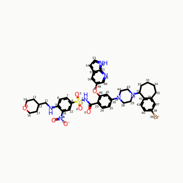 O=C(NS(=O)(=O)c1ccc(NCC2CCOCC2)c([N+](=O)[O-])c1)c1ccc(N2CCN(C3CCCCc4cc(Br)ccc43)CC2)cc1Oc1cnc2[nH]ccc2c1